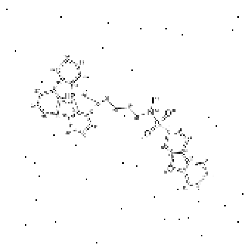 O=S(=O)(c1ccc2c(c1)oc1ccccc12)N(I)CCCCCC[PH](c1ccccc1)(c1ccccc1)c1ccccc1